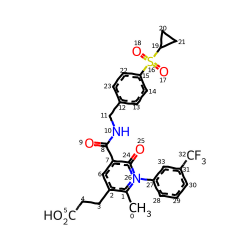 Cc1c(CCC(=O)O)cc(C(=O)NCc2ccc(S(=O)(=O)C3CC3)cc2)c(=O)n1-c1cccc(C(F)(F)F)c1